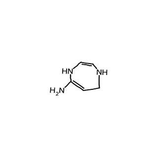 NC1=CCNC=CN1